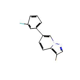 Fc1cccc(-c2ccc3c(Br)cnn3c2)c1